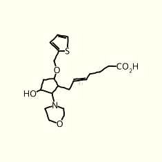 O=C(O)CCC/C=C/CC1C(OCc2cccs2)CC(O)C1N1CCOCC1